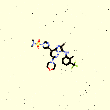 Cc1nc2c(-c3cn(S(=O)(=O)N(C)C)cn3)cc(N3CCOCC3)nn2c1Nc1cccc(C(F)(F)F)c1C